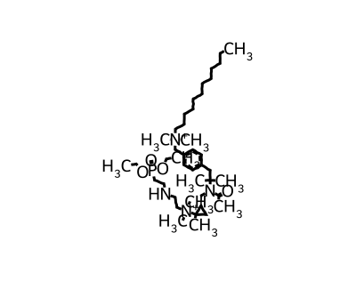 CCCCCCCCCCCC[N+](C)(C)Cc1ccc(CC(C)(C)N(C[C@H]2CC2(C)[N+](C)(C)CCNCCP(=O)(OCC)OCC)C(C)=O)cc1